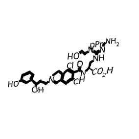 CCCN(CCO)/C(=N\CN)NC[C@H](NC(=O)c1c(Cl)cc2c(c1Cl)CCN(CCC(O)c1cccc(O)c1)C2)C(=O)O